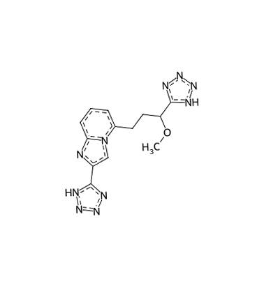 COC(CCc1cccc2nc(-c3nnn[nH]3)cn12)c1nnn[nH]1